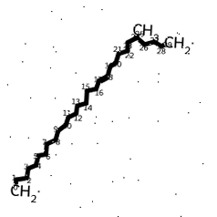 [CH2]CCCCCCCCCCCCCCCCC=CCCCCCC(C)CCC[CH2]